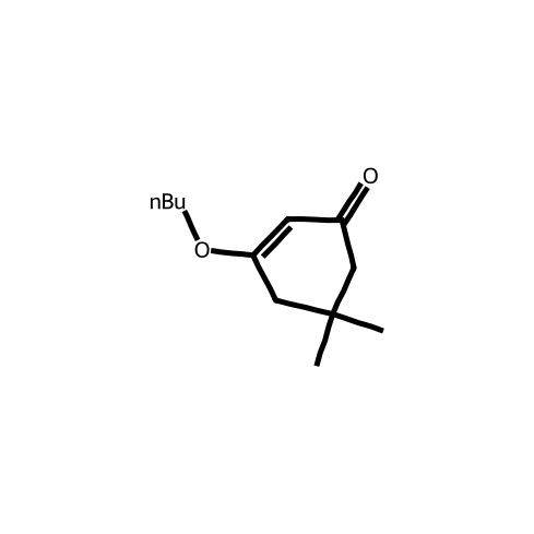 CCCCOC1=CC(=O)CC(C)(C)C1